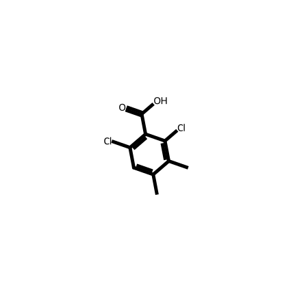 Cc1cc(Cl)c(C(=O)O)c(Cl)c1C